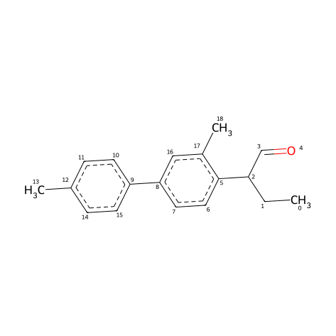 CCC(C=O)c1ccc(-c2ccc(C)cc2)cc1C